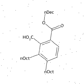 CCCCCCCCCCOC(=O)c1ccc(CCCCCCCC)c(CCCCCCCC)c1C(=O)O